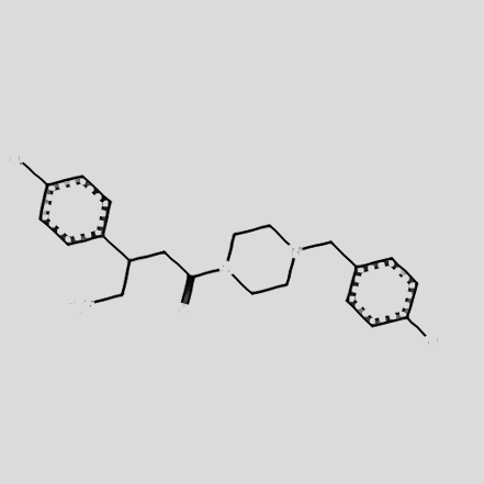 NCC(CC(=O)N1CCN(Cc2ccc(Cl)cc2)CC1)c1ccc(Cl)cc1